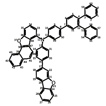 c1ccc(-c2ccc(-c3ccc(N(c4ccc(-c5ccc6c(c5)oc5ccccc56)cc4)c4cccc5oc6c7ccccc7ccc6c45)cc3)cc2-c2ccccc2)cc1